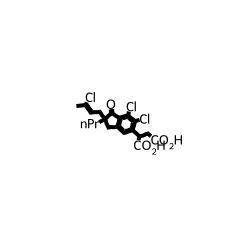 CCCC1(CC=C(C)Cl)Cc2cc(C(CC(=O)O)C(=O)O)c(Cl)c(Cl)c2C1=O